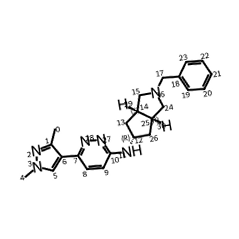 Cc1nn(C)cc1-c1ccc(N[C@@H]2C[C@@H]3CN(Cc4ccccc4)C[C@@H]3C2)nn1